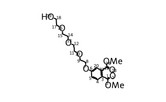 COC(=O)c1ccc(OCCOCCOCCOCCO)cc1C(=O)OC